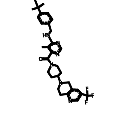 Cc1c(NCc2ccc(C(C)(C)C)cc2)ncnc1C(=O)N1CCC(N2CCc3ncc(C(F)(F)F)cc3C2)CC1